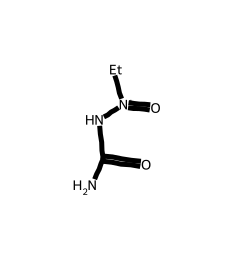 CC[N+](=O)NC(N)=O